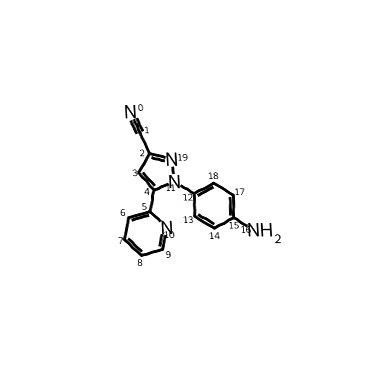 N#Cc1cc(-c2ccccn2)n(-c2ccc(N)cc2)n1